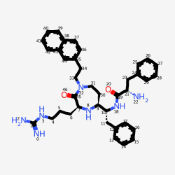 N=C(N)NCCC[C@@H]1N[C@H]([C@@H](Cc2ccccc2)NC(=O)[C@@H](N)Cc2ccccc2)CCN(CCc2ccc3ccccc3c2)C1=O